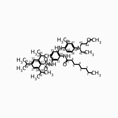 CCCCCCCC(=O)Nc1cc(NS(=O)(=O)c2c(C(C)C)cc(C(C)C)cc2C(C)C)ccc1Nc1ccc(N(CC)CCOC)cc1C